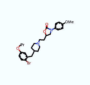 COc1ccc(N2CC(CCN3CCC(Cc4cc(OC(C)C)ccc4Br)CC3)OC2=O)cc1